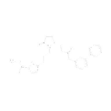 COC(=O)c1ccc(CCCN2C(=O)CC[C@@H]2CCC(=O)Cc2cccc(-c3ccccc3)c2)s1